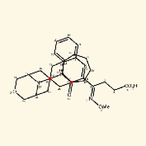 CO/N=C(\CCC(=O)O)c1nc2ccccc2n(C2CC3COCC(C2)N3C2CC3CCCCC(C3)C2)c1=O